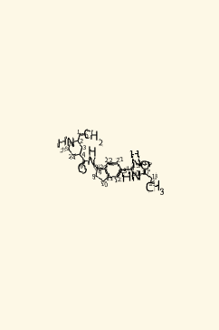 C=CC1CC(C(=O)N[C@@H]2CCc3cc(C4NOC(CC)N4)ccc32)CCN1